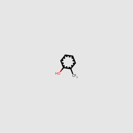 Oc1c[c]ccc1C(F)(F)F